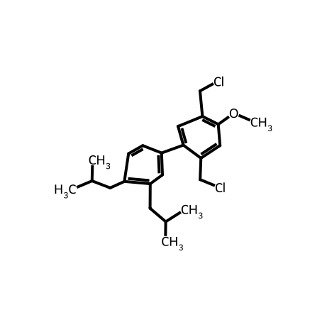 COc1cc(CCl)c(-c2ccc(CC(C)C)c(CC(C)C)c2)cc1CCl